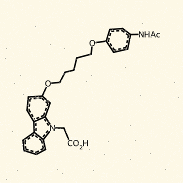 CC(=O)Nc1ccc(OCCCCCOc2ccc3c4ccccc4n(CC(=O)O)c3c2)cc1